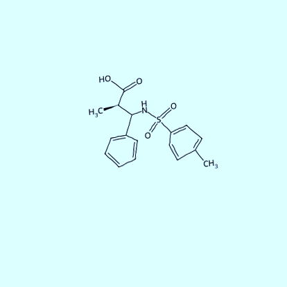 Cc1ccc(S(=O)(=O)NC(c2ccccc2)[C@@H](C)C(=O)O)cc1